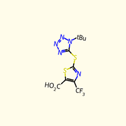 CC(C)(C)n1nnnc1Sc1nc(C(F)(F)F)c(C(=O)O)s1